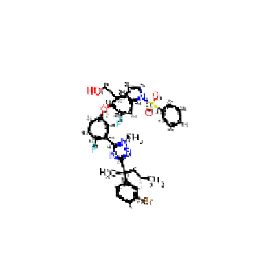 C=CCC(C)(c1cccc(Br)c1)c1nc(-c2cc(Oc3c(F)cc4c(ccn4S(=O)(=O)c4ccccc4)c3CO)ccc2F)n(C)n1